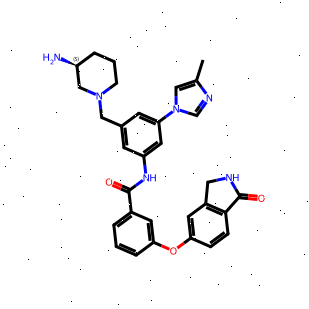 Cc1cn(-c2cc(CN3CCC[C@H](N)C3)cc(NC(=O)c3cccc(Oc4ccc5c(c4)CNC5=O)c3)c2)cn1